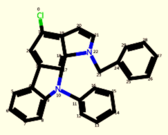 Clc1cc2c3ccccc3n(-c3ccccc3)c2c2c1ccn2Cc1ccccc1